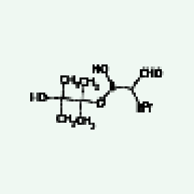 CCCC(C=O)B(O)OC(C)(C)C(C)(C)O